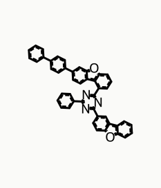 c1ccc(-c2ccc(-c3ccc4c(c3)oc3cccc(-c5nc(-c6ccccc6)nc(-c6ccc7oc8ccccc8c7c6)n5)c34)cc2)cc1